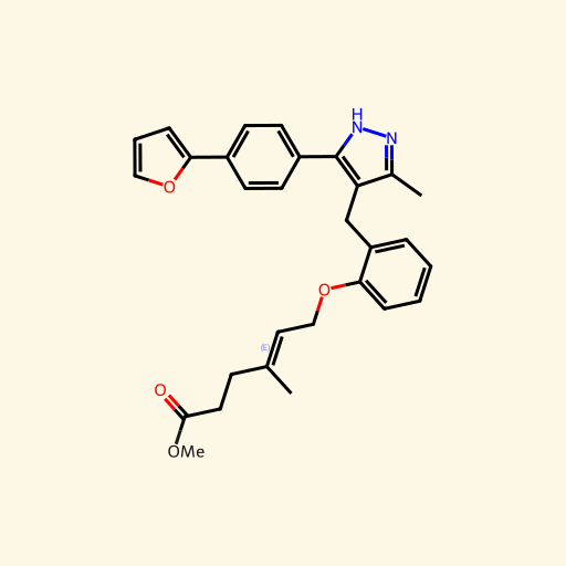 COC(=O)CC/C(C)=C/COc1ccccc1Cc1c(C)n[nH]c1-c1ccc(-c2ccco2)cc1